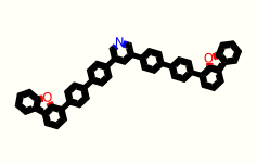 c1ccc2c(c1)oc1c(-c3ccc(-c4ccc(-c5cncc(-c6ccc(-c7ccc(-c8cccc9c8oc8ccccc89)cc7)cc6)c5)cc4)cc3)cccc12